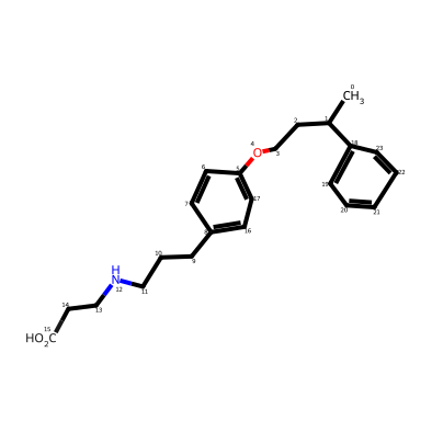 CC(CCOc1ccc(CCCNCCC(=O)O)cc1)c1ccccc1